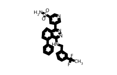 CC(F)(F)c1cccc(CNc2nnc(-c3cncc(S(N)(=O)=O)c3)c3cccc(-c4ccccc4)c23)c1